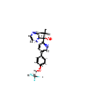 CC(C)(C)C(O)(c1ccc(-c2ccc(OCC(F)(F)F)cc2)cn1)c1cnccn1